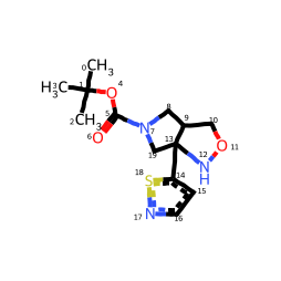 CC(C)(C)OC(=O)N1CC2CONC2(c2ccns2)C1